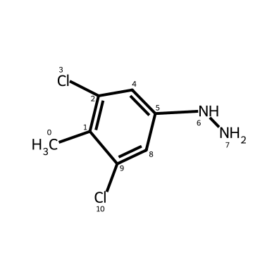 Cc1c(Cl)cc(NN)cc1Cl